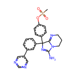 CS(=O)(=O)Oc1ccc(C2(c3cccc(-c4cncnc4)c3)N=C(N)N3CCCN=C32)cc1